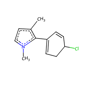 Cc1ccn(C)c1C1=CCC(Cl)C=C1